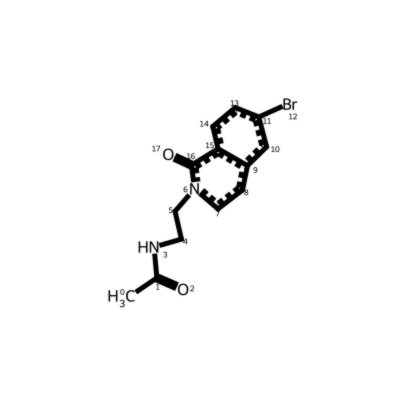 CC(=O)NCCn1ccc2cc(Br)ccc2c1=O